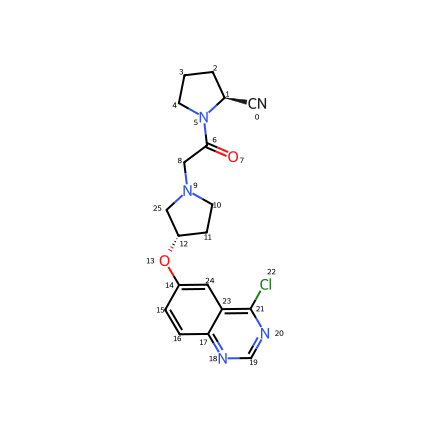 N#C[C@@H]1CCCN1C(=O)CN1CC[C@H](Oc2ccc3ncnc(Cl)c3c2)C1